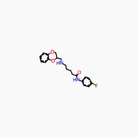 O=C(CCCCNCC1COc2ccccc2O1)Nc1ccc(F)cc1